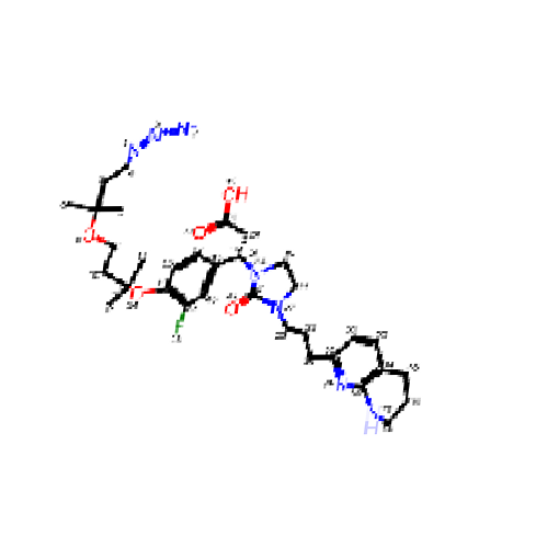 CC(C)(CCN=[N+]=[N-])OCCC(C)(C)Oc1ccc([C@H](CC(=O)O)N2CCN(CCCc3ccc4c(n3)NCCC4)C2=O)cc1F